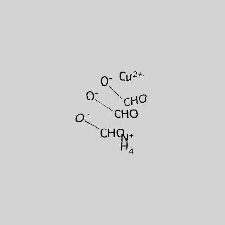 O=C[O-].O=C[O-].O=C[O-].[Cu+2].[NH4+]